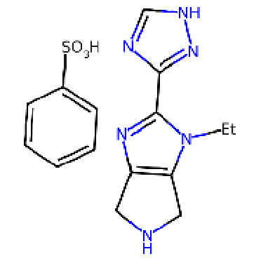 CCn1c(-c2nc[nH]n2)nc2c1CNC2.O=S(=O)(O)c1ccccc1